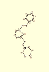 C(=Nc1cccc(CCN2CCOCC2)c1)c1ccncc1